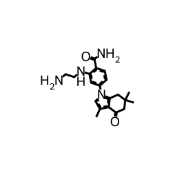 Cc1cn(-c2ccc(C(N)=O)c(NCCN)c2)c2c1C(=O)CC(C)(C)C2